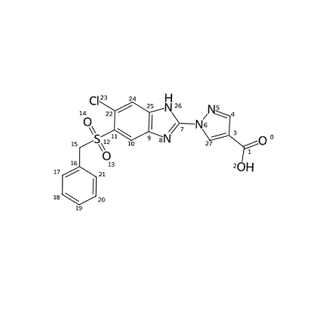 O=C(O)c1cnn(-c2nc3cc(S(=O)(=O)Cc4ccccc4)c(Cl)cc3[nH]2)c1